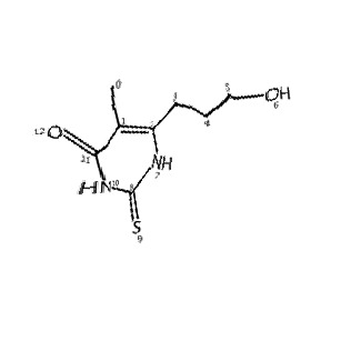 Cc1c(CCCO)[nH]c(=S)[nH]c1=O